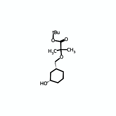 CC(C)(C)OC(=O)C(C)(C)OC[C@@H]1CCC[C@H](O)C1